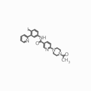 CC(=O)N1CCN(c2ccc(C(=O)Nc3ccc(I)c(-c4ccccn4)c3)cn2)CC1